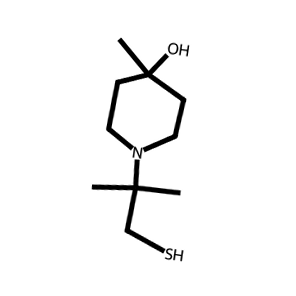 CC1(O)CCN(C(C)(C)CS)CC1